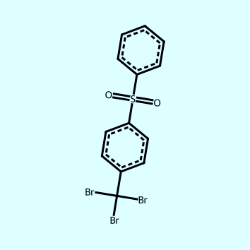 O=S(=O)(c1ccccc1)c1ccc(C(Br)(Br)Br)cc1